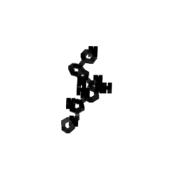 c1cc(-c2ccncc2)c2cc(-c3n[nH]c4ccc(-c5cncc(CN6CCCCC6)c5)nc34)[nH]c2c1